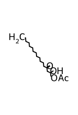 C=CCCCCCCCCCCCC(=O)CC(O)COC(C)=O